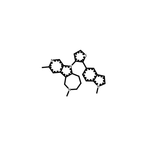 Cc1cc2c3c(n(-c4ccsc4-c4ccc5c(ccn5C)c4)c2cn1)CCCN(C)C3